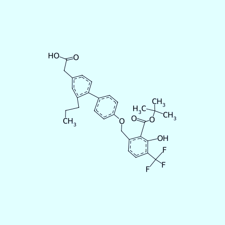 CCCc1cc(CC(=O)O)ccc1-c1ccc(OCc2ccc(C(F)(F)F)c(O)c2C(=O)OC(C)(C)C)cc1